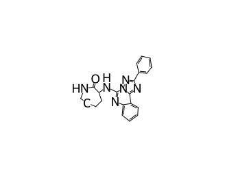 O=C1NCCCCC1Nc1nc2ccccc2c2nc(-c3ccccc3)nn12